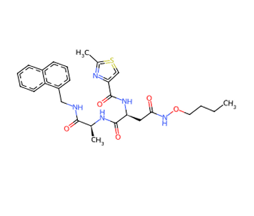 CCCCONC(=O)C[C@H](NC(=O)c1csc(C)n1)C(=O)N[C@@H](C)C(=O)NCc1cccc2ccccc12